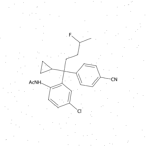 CC(=O)Nc1ccc(Cl)cc1C(CCC(C)F)(c1ccc(C#N)cc1)C1CC1